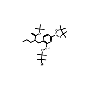 C=C(OC(C)(C)C)C(CCC)Cc1ccc(B2OC(C)(C)C(C)(C)O2)cc1BOC(C)(C)C(C)(C)S